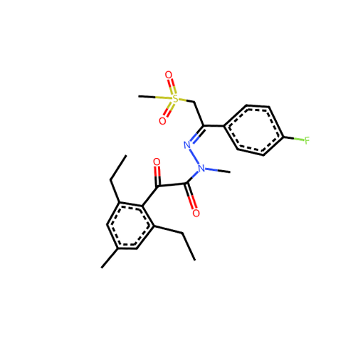 CCc1cc(C)cc(CC)c1C(=O)C(=O)N(C)/N=C(/CS(C)(=O)=O)c1ccc(F)cc1